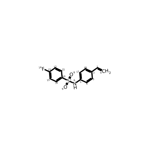 C=Cc1ccc(NS(=O)(=O)c2ccc(F)cc2)cc1